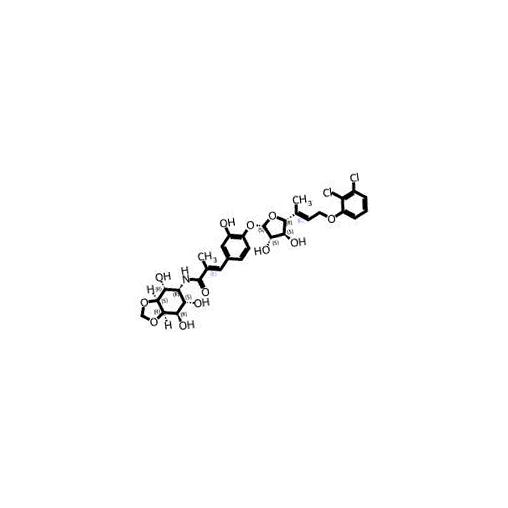 C/C(=C\c1ccc(O[C@@H]2O[C@H](/C(C)=C/COc3cccc(Cl)c3Cl)[C@@H](O)[C@@H]2O)c(O)c1)C(=O)N[C@@H]1[C@H](O)[C@@H](O)[C@H]2OCO[C@H]2[C@@H]1O